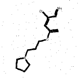 C=C(/C=C(\C=N)CC)OCCCN1CCCC1